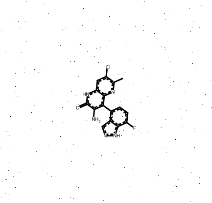 Cc1nc2c(-c3ccc(F)c4[nH]ncc34)c(N)c(=O)[nH]c2cc1Cl